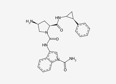 NC(=O)n1cc(NC(=O)N2C[C@@H](N)C[C@H]2C(=O)NC2C[C@H]2c2ccccc2)c2ccccc21